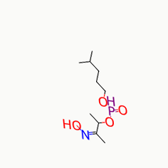 CC(=NO)C(C)O[PH](=O)OCCCC(C)C